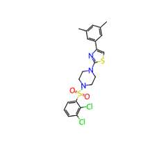 Cc1cc(C)cc(-c2csc(N3CCN(S(=O)(=O)c4cccc(Cl)c4Cl)CC3)n2)c1